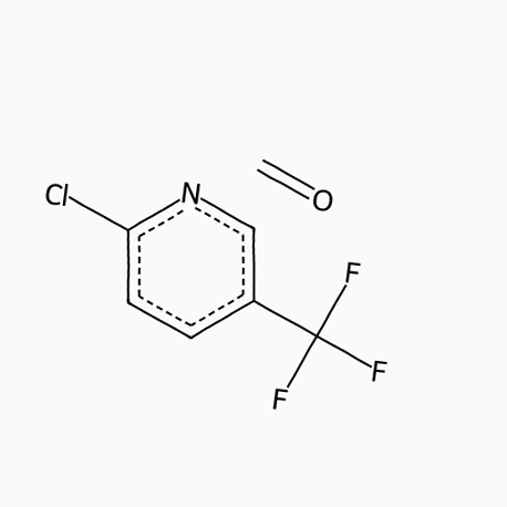 C=O.FC(F)(F)c1ccc(Cl)nc1